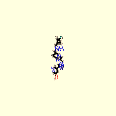 COc1cncc(-c2cn(Cc3cn4cc(CNCC56CC(F)(C5)C6)ccc4n3)nn2)c1